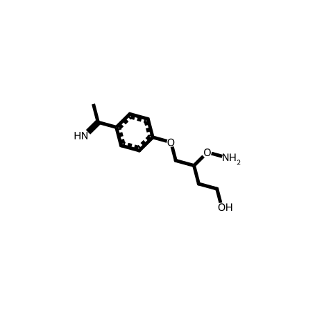 CC(=N)c1ccc(OCC(CCO)ON)cc1